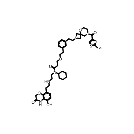 CC(C)c1nc(C(=O)N2CCOC3(CN(CCc4cccc(CCOCCC(=O)N(CCNCCc5ccc(O)c6c5OCC(=O)N6)C5CCCCC5)c4)C3)C2)cs1